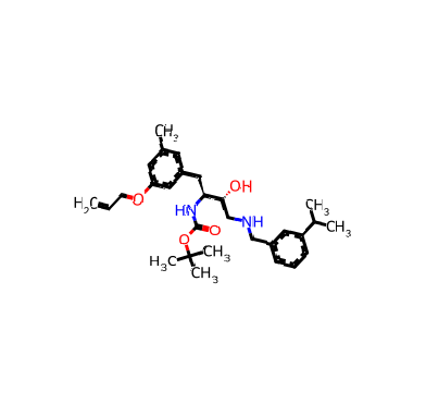 C=CCOc1cc(C)cc(C[C@H](NC(=O)OC(C)(C)C)[C@H](O)CNCc2cccc(C(C)C)c2)c1